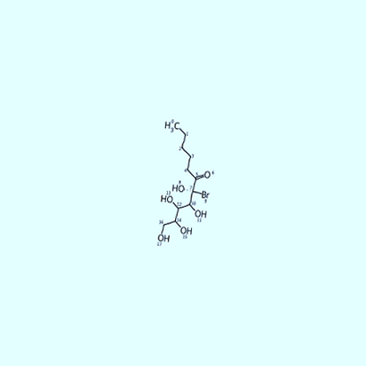 CCCCCC(=O)[C@@](O)(Br)C(O)C(O)C(O)CO